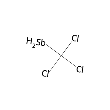 Cl[C](Cl)(Cl)[SbH2]